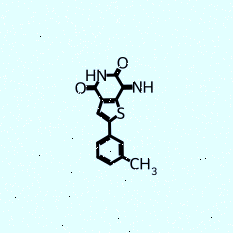 Cc1cccc(-c2cc3c(s2)C(=N)C(=O)NC3=O)c1